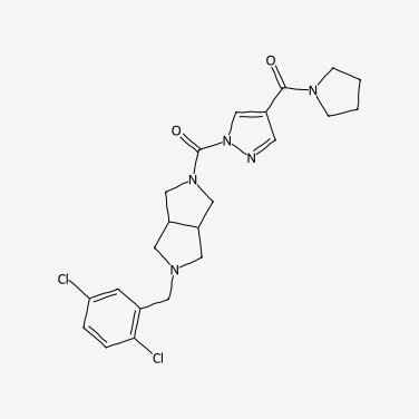 O=C(c1cnn(C(=O)N2CC3CN(Cc4cc(Cl)ccc4Cl)CC3C2)c1)N1CCCC1